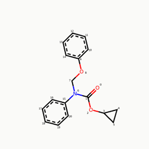 O=C(OC1CC1)N(COc1ccccc1)c1ccccc1